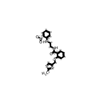 Cc1nc(CSc2ccccc2C(=O)NCCNc2ccccc2[N+](=O)[O-])cs1